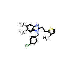 Cc1cc2nc(CCc3sccc3C)n(Cc3ccc(Cl)cc3)c2cc1C